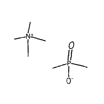 CP(C)(=O)[O-].C[N+](C)(C)C